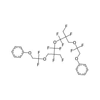 FCC(F)(COC(F)(F)COc1ccccc1)C(F)(F)OC(F)(F)C(F)(CF)COC(F)(F)COc1ccccc1